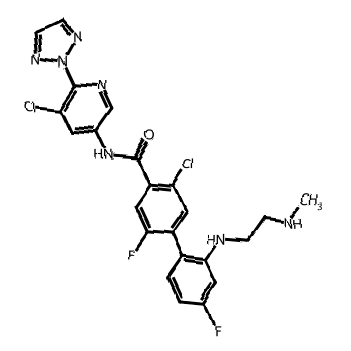 CNCCNc1cc(F)ccc1-c1cc(Cl)c(C(=O)Nc2cnc(-n3nccn3)c(Cl)c2)cc1F